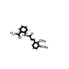 COc1cccc(/C=C/C(=O)Nc2ccccc2C(N)=O)c1OC